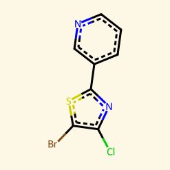 Clc1nc(-c2cccnc2)sc1Br